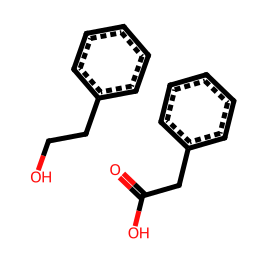 O=C(O)Cc1ccccc1.OCCc1ccccc1